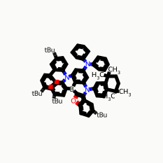 CC(C)(C)c1ccc(-c2cc(C(C)(C)C)ccc2N2c3ccc(C(C)(C)C)cc3B3c4oc5ccc(C(C)(C)C)cc5c4N(c4ccc5c(c4)C(C)(C)CCC5(C)C)c4cc(N(c5ccccc5)c5ccccc5)cc2c43)cc1